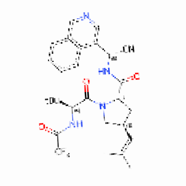 CC(C)=C[C@@H]1C[C@@H](C(=O)N[C@@H](C#N)c2cncc3ccccc23)N(C(=O)[C@@H](NC(=O)C(F)(F)F)C(C)(C)C)C1